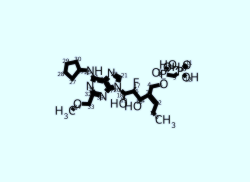 CC/C=C(/COP(=O)(O)CP(=O)(O)O)[C@@H](O)[C@H](F)[C@@H](O)n1cnc2c(NC3CCCC3)nc(COC)nc21